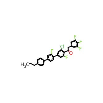 CCCc1ccc(-c2ccc(-c3cc(F)c(C(=O)Cc4cc(F)c(F)c(F)c4)c(Cl)c3)c(F)c2)cc1